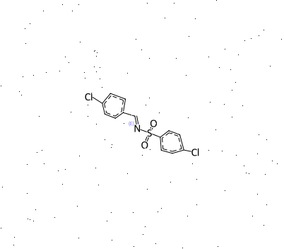 O=S(=O)(/N=C/c1ccc(Cl)cc1)c1ccc(Cl)cc1